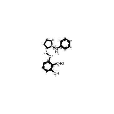 O=Cc1c(O)cccc1OC[C@@H]1CCCN1[SiH2]c1ccccc1